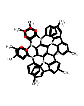 Cc1ccc(N(c2ccc(C)cc2)c2c(N(c3ccc(C)cc3)c3ccc(C)cc3)c3c4c(c2N(c2ccc(C)cc2)c2ccc(C)cc2)-n2c5ccc(C)cc5c5cc(C)cc(c52)C4(O)c2cc(C)cc4c5cc(C)ccc5n-3c24)cc1